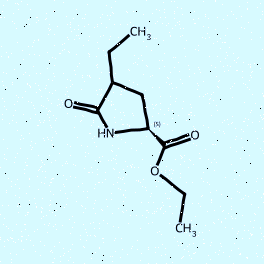 CCOC(=O)[C@@H]1CC(CC)C(=O)N1